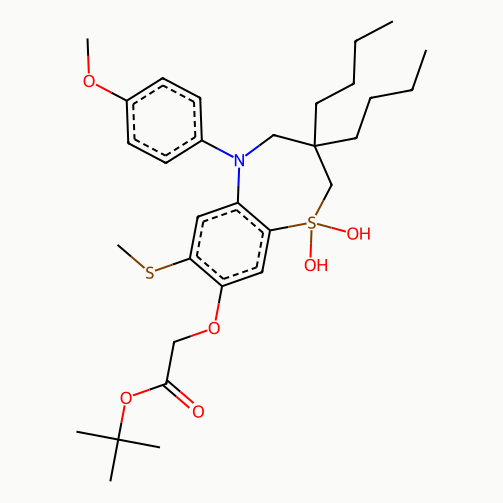 CCCCC1(CCCC)CN(c2ccc(OC)cc2)c2cc(SC)c(OCC(=O)OC(C)(C)C)cc2S(O)(O)C1